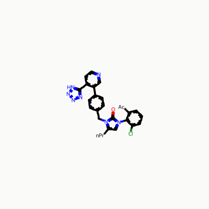 CCCc1cn(-c2c(Cl)cccc2C(C)=O)c(=O)n1Cc1ccc(-c2cnccc2-c2nnn[nH]2)cc1